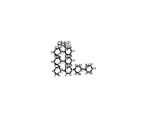 [Cl][Ir+2].[Cl][Ir+2].[c-]1ccccc1-c1ccccn1.[c-]1ccccc1-c1ccccn1.[c-]1ccccc1-c1ccccn1.[c-]1ccccc1-c1ccccn1